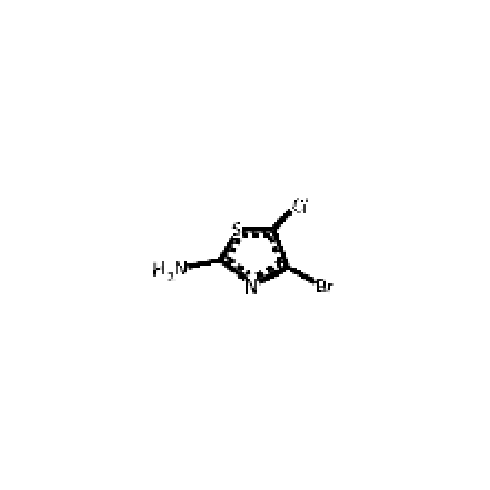 Nc1nc(Br)c(Cl)s1